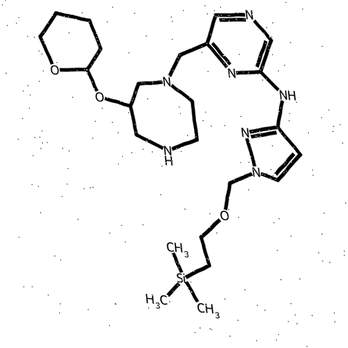 C[Si](C)(C)CCOCn1ccc(Nc2cncc(CN3CCNCC(OC4CCCCO4)C3)n2)n1